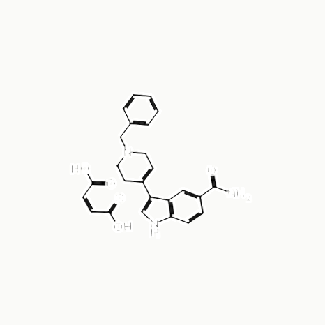 NC(=O)c1ccc2[nH]cc(C3=CCN(Cc4ccccc4)CC3)c2c1.O=C(O)/C=C\C(=O)O